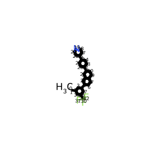 CCc1cc(-c2ccc3ccc(-c4ccc(-c5ccncc5)cc4)cc3c2)cc(C(F)(F)F)c1